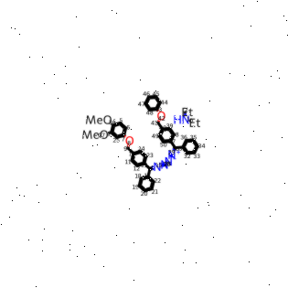 CCNCC.COc1ccc(OCc2ccc(C(=[N+]=[N-])c3ccccc3)cc2)cc1OC.[N-]=[N+]=C(c1ccccc1)c1ccc(COc2ccccc2)cc1